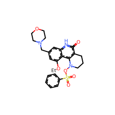 CCOc1cc(CN2CCOCC2)cc2[nH]c(=O)c3c(c12)N(OS(=O)(=O)c1ccccc1)CCC3